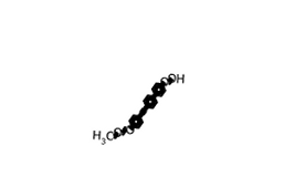 CCOCCOc1ccc(C#Cc2ccc(-c3ccc(OCO)cc3)cc2)cc1